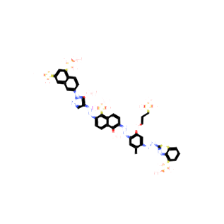 Cc1cc(N=Nc2ccc3c(S(=O)(=O)O)c(N=Nc4cnn(-c5ccc6c(S(=O)(=O)O)cc(S(=O)(=O)O)cc6c5)c4O)ccc3c2O)c(OCCCS(=O)(=O)O)cc1N=Nc1nc2c(S(=O)(=O)O)cccc2s1